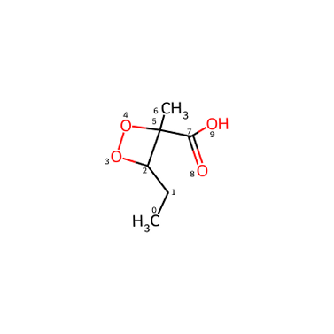 CCC1OOC1(C)C(=O)O